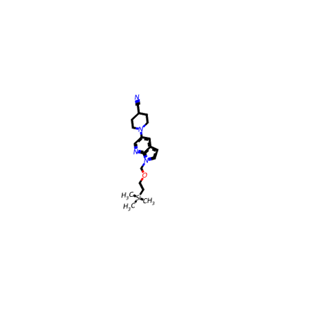 C[Si](C)(C)CCOCn1ccc2cc(N3CCC(C#N)CC3)cnc21